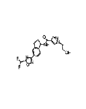 O=C(N[C@@H]1CCc2cc(-c3noc(C(F)F)n3)ccc21)c1cnn(CCO)c1